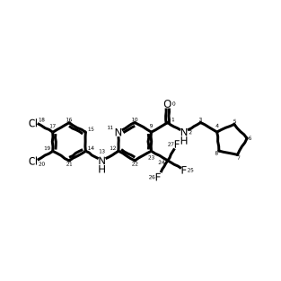 O=C(NCC1CCCC1)c1cnc(Nc2ccc(Cl)c(Cl)c2)cc1C(F)(F)F